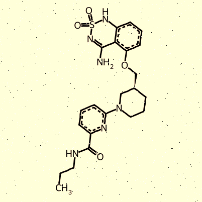 CCCNC(=O)c1cccc(N2CCC[C@H](COc3cccc4c3C(N)=NS(=O)(=O)N4)C2)n1